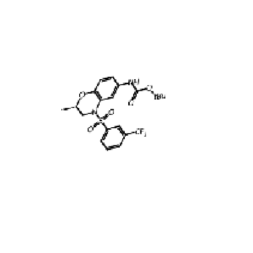 [CH2][C@@H]1CN(S(=O)(=O)c2cccc(C(F)(F)F)c2)c2cc(NC(=O)OC(C)(C)C)ccc2O1